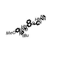 COc1cccc(-n2nc(C(C)(C)C)cc2NC(=O)Nc2ccc(OCc3ccnc(Nc4cnccn4)c3)c3ccccc23)c1